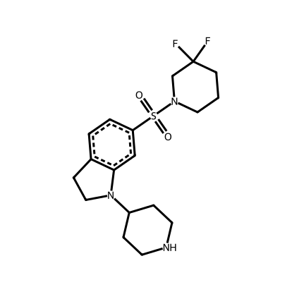 O=S(=O)(c1ccc2c(c1)N(C1CCNCC1)CC2)N1CCCC(F)(F)C1